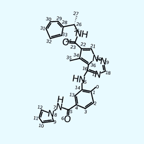 Cc1ccc(C(=O)Nn2cccc2)cc1Nc1ncnn2cc(C(=O)N[C@@H](C)c3ccccc3)c(C)c12